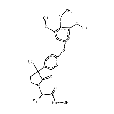 COc1cc(Oc2ccc(C3(C)CCN(C(C)C(=O)NO)C3=O)cc2)cc(OC)c1OC